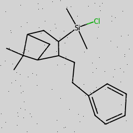 CC1(C)C2CC1C(CCc1ccccc1)C([Si](C)(C)Cl)C2